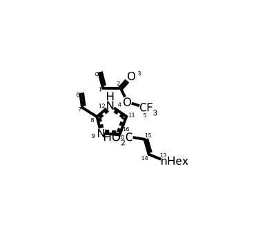 C=CC(=O)OC(F)(F)F.C=Cc1ncc[nH]1.CCCCCCC=CC(=O)O